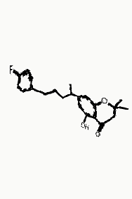 CC(CCCc1ccc(F)cc1)c1cc(O)c2c(c1)OC(C)(C)CC2=O